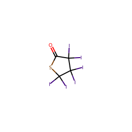 O=C1SC(I)(I)C(I)(I)C1(I)I